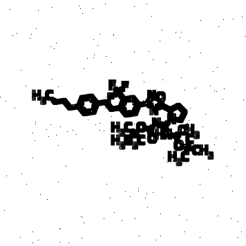 CCCCc1ccc(CCc2ccc(-c3noc(C4CCCN4C(=NC(=O)OC(C)(C)C)NC(=O)OC(C)(C)C)n3)cc2C(F)(F)F)cc1